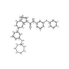 O=C(Nc1cncc(Cc2ccccc2)c1)c1n[nH]c2ccc(-c3cncc(CN4CCCCCC4)c3)cc12